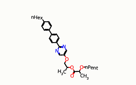 CCCCCCc1ccc(-c2ccc(-c3ncc(OC[C@H](C)OC(=O)C(C)OCCCCC)cn3)cc2)cc1